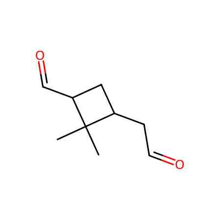 CC1(C)C(C=O)CC1CC=O